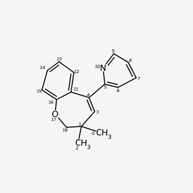 CC1(C)C=C(c2ccccn2)c2ccccc2OC1